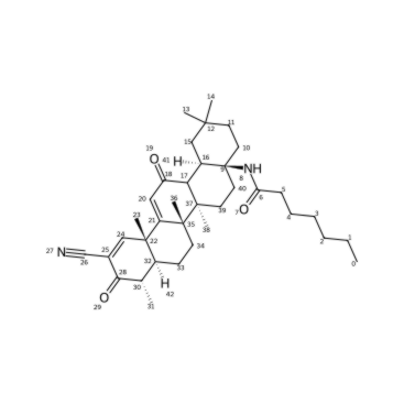 CCCCCCC(=O)N[C@]12CCC(C)(C)C[C@@H]1C1C(=O)C=C3[C@@]4(C)C=C(C#N)C(=O)[C@@H](C)[C@@H]4CC[C@@]3(C)[C@]1(C)CC2